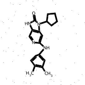 Cc1ccc(Nc2cc3c(cn2)[nH]c(=O)n3C2CCCC2)cc1C